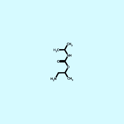 CC(C)NC(=O)OC(C)CN